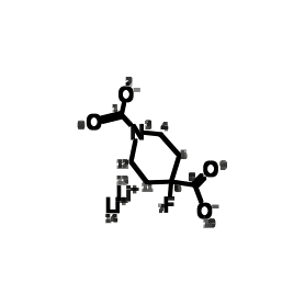 O=C([O-])N1CCC(F)(C(=O)[O-])CC1.[Li+].[Li+]